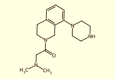 CN(C)CC(=O)N1CCc2cccc(N3CCNCC3)c2C1